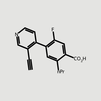 C#Cc1cnccc1-c1cc(CCC)c(C(=O)O)cc1F